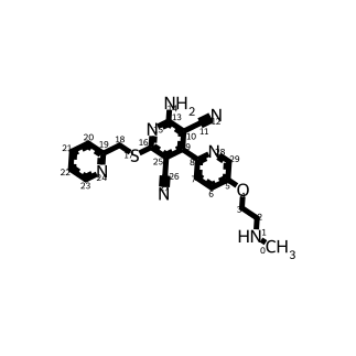 CNCCOc1ccc(-c2c(C#N)c(N)nc(SCc3ccccn3)c2C#N)nc1